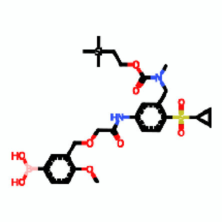 COc1ccc(B(O)O)cc1COCC(=O)Nc1ccc(S(=O)(=O)C2CC2)c(CN(C)C(=O)OCC[Si](C)(C)C)c1